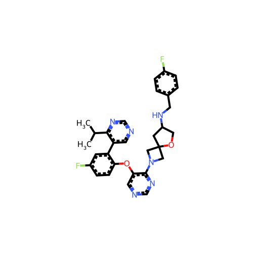 CC(C)c1ncncc1-c1cc(F)ccc1Oc1cncnc1N1CC2(CC(NCc3ccc(F)cc3)CO2)C1